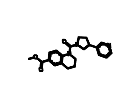 COC(=O)c1ccc2c(c1)CCCN2C(=O)N1CCC(c2cccnc2)C1